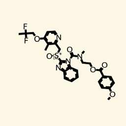 COc1ccc(C(=O)OCCN(C)C(=O)n2c([S@+]([O-])Cc3nccc(OCC(C)(F)F)c3C)nc3ccccc32)cc1